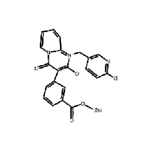 CC(C)(C)OC(=O)c1cccc(-c2c([O-])[n+](Cc3ccc(Cl)nc3)c3ccccn3c2=O)c1